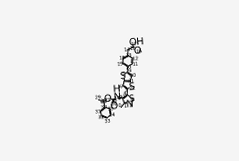 Cc1nsc(-c2cc3sc(-c4ccc(CC(=O)O)cc4)cc3s2)c1NC(=O)O[C@H](C)c1ccccc1